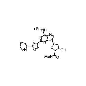 CCCNc1nc(-c2noc(-c3ccccn3)n2)nc2c1ncn2[C@H]1C[C@H](O)[C@@H](C(=O)NC)O1